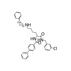 O=C(NC(CCCCN[C@@H]1C[C@H]1c1ccccc1)C(=O)NCc1cccc(Cl)c1)c1ccc(-c2ccccc2)cc1